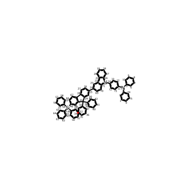 c1ccc(N(c2ccccc2)c2ccc(-n3c4ccccc4c4cc(-c5ccc6c(c5)C(c5ccccc5)(c5ccccc5)c5cc([Si](c7ccccc7)(c7ccccc7)c7ccccc7)ccc5-6)ccc43)cc2)cc1